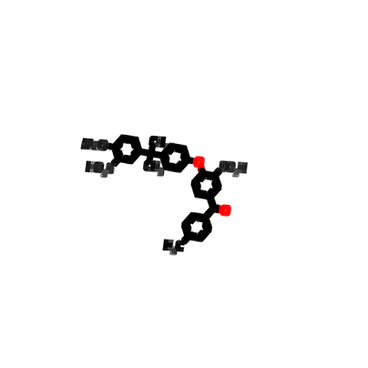 COc1ccc(C(C)(C)c2ccc(Oc3ccc(C(=O)c4ccc(C)cc4)cc3S(=O)(=O)O)cc2)cc1S(=O)(=O)O